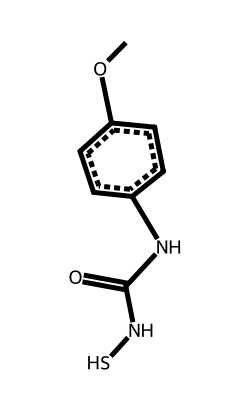 COc1ccc(NC(=O)NS)cc1